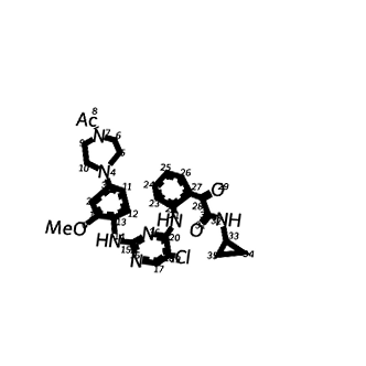 COc1cc(N2CCN(C(C)=O)CC2)ccc1Nc1ncc(Cl)c(Nc2ccccc2C(=O)C(=O)NC2CC2)n1